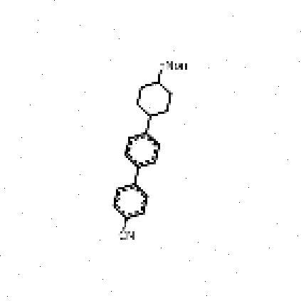 CCCCCCCCCC1CCC(c2ccc(-c3ccc(C#N)cc3)cc2)CC1